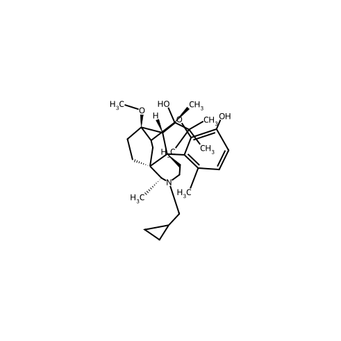 CO[C@]12CC[C@@]3(CC1[C@](C)(O)C(C)(C)C)[C@@H](C)N(CC1CC1)CC[C@@]31c3c(C)ccc(O)c3O[C@H]12